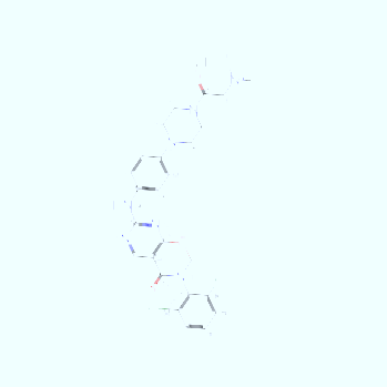 CN(C)CC(=O)N1CCN(c2ccc(Nc3ncc4c(n3)OCN(c3c(Cl)cccc3Cl)C4=O)cc2)CC1